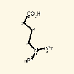 CCCN(CCC)CCCC(=O)O